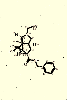 CC(C)C[C@@H]1[C@@H]2[C@@H]3C(=O)N[C@@]1(C(=O)NCc1ccccc1)C[C@@H]3CN2CC(C)C